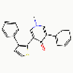 Cn1cc(-c2ccccc2)c(=O)c(-c2sccc2-c2ccccc2)c1